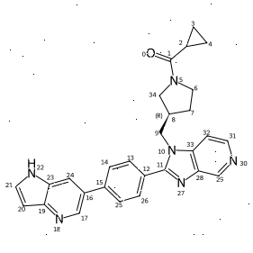 O=C(C1CC1)N1CC[C@@H](Cn2c(-c3ccc(-c4cnc5cc[nH]c5c4)cc3)nc3cnccc32)C1